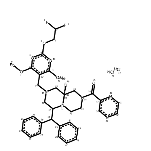 CCOc1nc(OCC(F)F)nc(OC)c1CN1CC(C(c2ccccc2)c2ccccc2)N2CCN(C(=O)c3cnccn3)C[C@H]2C1.Cl.Cl